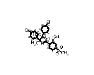 CCOc1cc(S(C)(=O)=O)ccc1C1=N[C@@](C)(c2ccc(Cl)cc2)[C@@](C)(c2ccc(Cl)cc2)N1